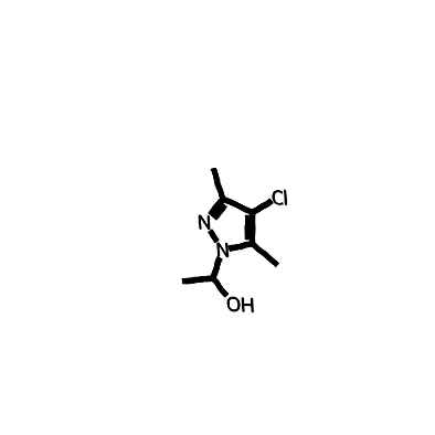 Cc1nn(C(C)O)c(C)c1Cl